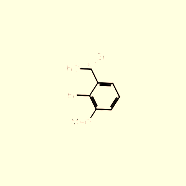 CC[C@@H](O)c1cccc(OC)c1Br